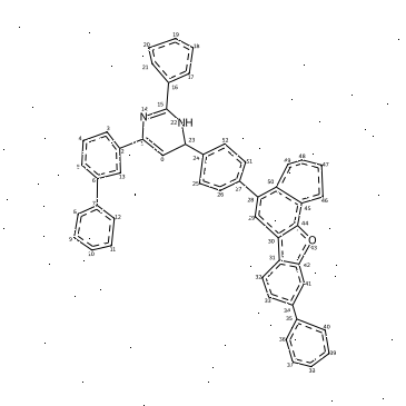 C1=C(c2cccc(-c3ccccc3)c2)N=C(c2ccccc2)NC1c1ccc(-c2cc3c4ccc(-c5ccccc5)cc4oc3c3ccccc23)cc1